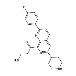 NCCC(=O)c1nc(N2CCNCC2)nc2ccc(-c3ccc(F)cc3)nc12